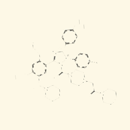 CCOc1cc(C)c([S+]([O-])N2CCCCC2)cc1C1=N[C@@H](c2ccc(Cl)cc2)[C@@H](c2ccc(Cl)cc2)N1C(=O)N1CCN(CC(=O)N2CCOCC2)CC1.Cl